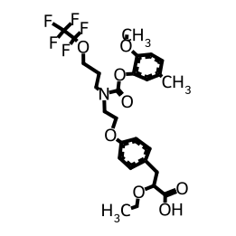 CCOC(Cc1ccc(OCCN(CCCOC(F)(F)C(F)(F)F)C(=O)Oc2cc(C)ccc2OC)cc1)C(=O)O